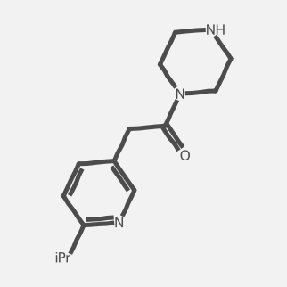 CC(C)c1ccc(CC(=O)N2CCNCC2)cn1